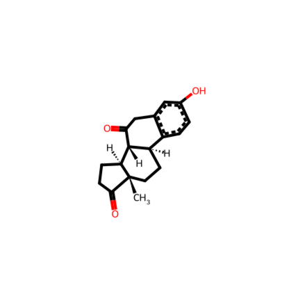 C[C@]12CC[C@@H]3c4ccc(O)cc4CC(=O)[C@H]3[C@@H]1CCC2=O